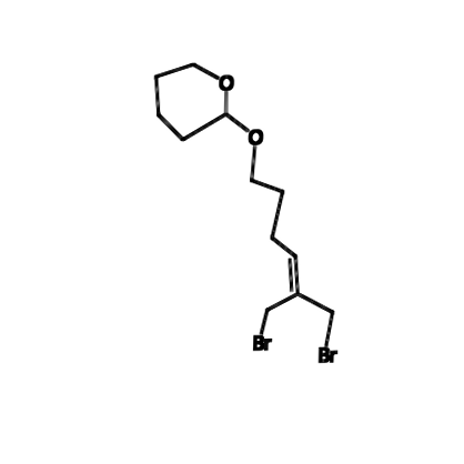 BrCC(=CCCCOC1CCCCO1)CBr